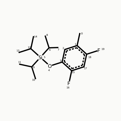 Cc1cc(O[Si](C(C)C)(C(C)C)C(C)C)c(F)cc1F